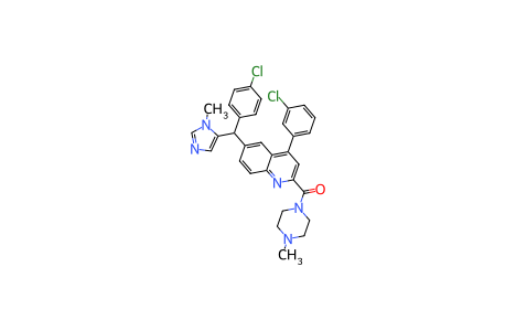 CN1CCN(C(=O)c2cc(-c3cccc(Cl)c3)c3cc(C(c4ccc(Cl)cc4)c4cncn4C)ccc3n2)CC1